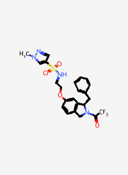 Cn1cc(S(=O)(=O)NCCOc2ccc3c(c2)C(Cc2ccccc2)N(C(=O)C(F)(F)F)C3)cn1